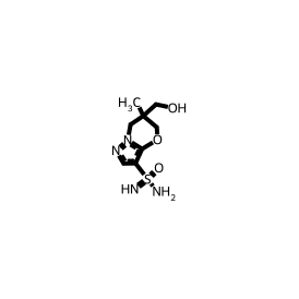 CC1(CO)COc2c(S(=N)(N)=O)cnn2C1